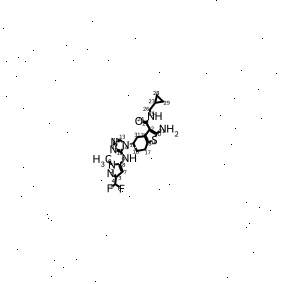 Cn1nc(C(F)F)cc1Nc1nncn1[C@H]1CCc2sc(N)c(C(=O)NCC3CC3)c2C1